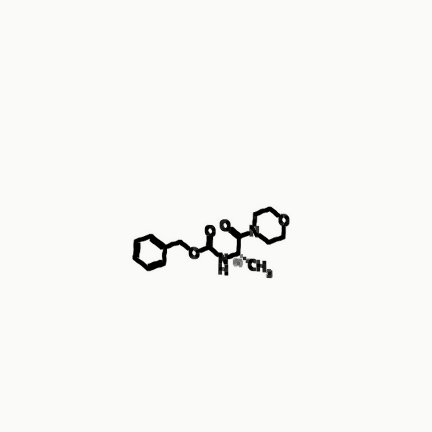 C[C@H](NC(=O)OCc1ccccc1)C(=O)N1CCOCC1